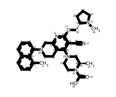 Cc1cccc2cccc(N3CCc4c(nc(OC[C@@H]5CCCN5C)c(C#N)c4N4CCN(C(=O)O)[C@H](C)C4)C3)c12